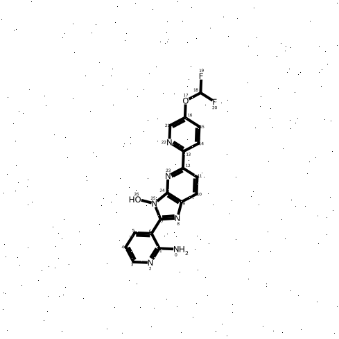 Nc1ncccc1-c1nc2ccc(-c3ccc(OC(F)F)cn3)nc2n1O